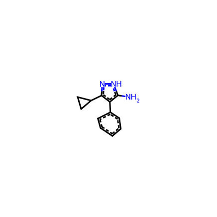 Nc1[nH]nc(C2CC2)c1-c1ccccc1